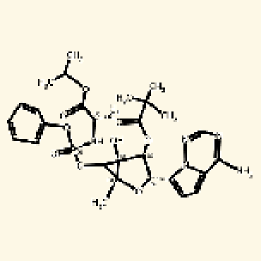 CC(C)OC(=O)[C@H](C)N[P@@](=O)(Oc1ccccc1)OC1[C@@]2(C)O[C@@H](c3ccc4c(N)ncnn34)[C@H](OC(=O)C(C)(C)C)[C@@]12O